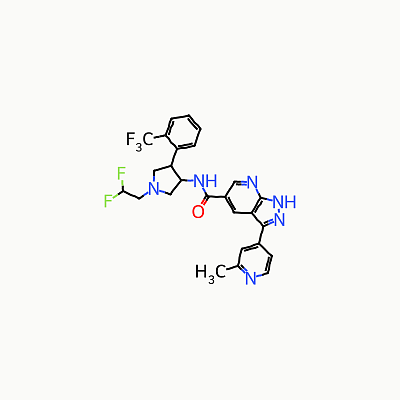 Cc1cc(-c2n[nH]c3ncc(C(=O)NC4CN(CC(F)F)CC4c4ccccc4C(F)(F)F)cc23)ccn1